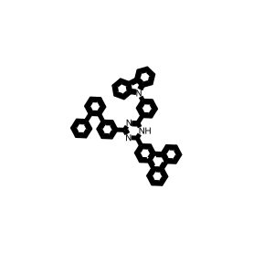 c1ccc(-c2ccccc2-c2cccc(C3=NC(c4ccc5c6ccccc6c6ccccc6c5c4)NC(c4cccc(-n5c6ccccc6c6ccccc65)c4)=N3)c2)cc1